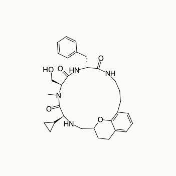 CN1C(=O)[C@H](C2CC2)NCC2CCc3cccc(c3O2)CCCNC(=O)[C@@H](Cc2ccccc2)NC(=O)[C@@H]1CO